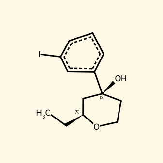 CC[C@H]1C[C@](O)(c2cccc(I)c2)CCO1